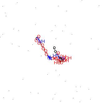 O=C(CCOCCOCCOCCOCCn1cc(COCCOCCO[C@]2(C(=O)O)C[C@H](O)[C@@H](NC(=O)CO)[C@H]([C@H](O)[C@H](O)CNC(=O)Cc3ccc(-c4ccccc4)cc3)O2)nn1)NCCN1C(=O)C=CC1=O